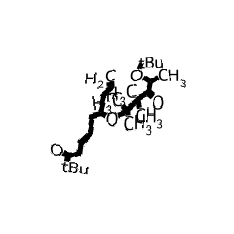 C=CCC(CCCCC(=O)C(C)(C)C)OC(C)(C)C(C)(C)C(=O)C(C)OC(C)(C)C